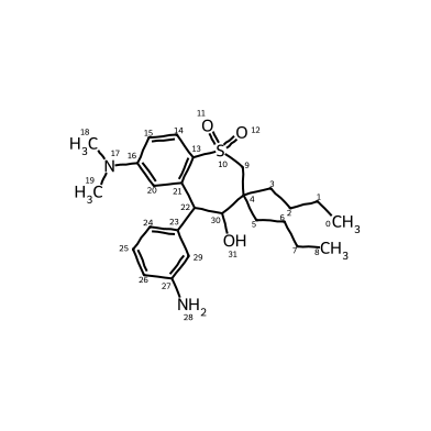 CCCCC1(CCCC)CS(=O)(=O)c2ccc(N(C)C)cc2C(c2cccc(N)c2)C1O